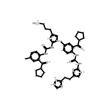 Cc1ccc(NC(=O)Nc2ncc(CCCC(=O)O)s2)c(C(=O)C2CCCC2)c1.Cc1ccc(NC(=O)Nc2ncc(CCc3ncno3)s2)c(C(=O)C2CCCC2)c1